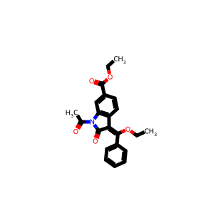 CCOC(=O)c1ccc2c(c1)N(C(C)=O)C(=O)C2=C(OCC)c1ccccc1